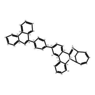 C1=CC2CC(C=C1)N1C(=N2)c2ccc(-c3ccc(-c4cc5ccccc5c5ccccc45)cc3)cc2-c2ccccc21